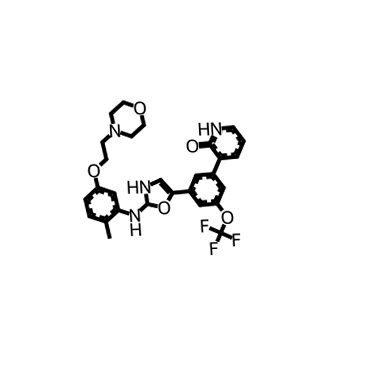 Cc1ccc(OCCN2CCOCC2)cc1NC1NC=C(c2cc(OC(F)(F)F)cc(-c3ccc[nH]c3=O)c2)O1